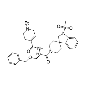 CCN1CC=C(C(=O)N[C@H](COCc2ccccc2)C(=O)N2CCC3(CC2)CN(S(C)(=O)=O)c2ccccc23)CC1